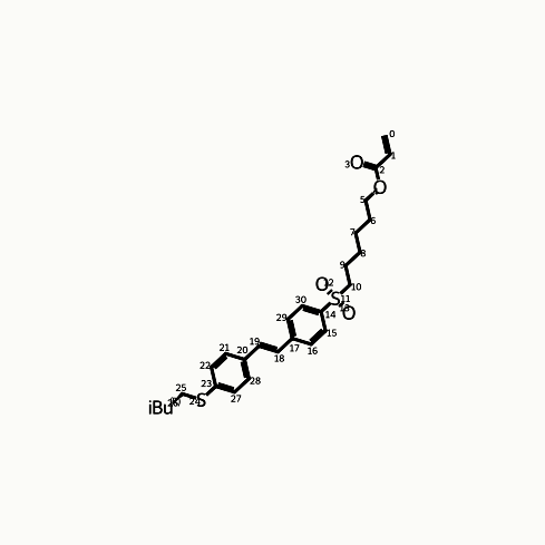 C=CC(=O)OCCCCCCS(=O)(=O)c1ccc(C=Cc2ccc(SC[C@H](C)CC)cc2)cc1